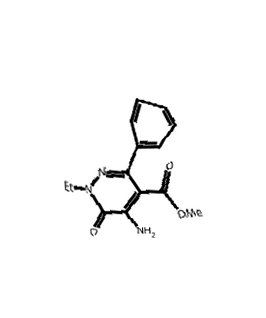 CCn1nc(-c2ccccc2)c(C(=O)OC)c(N)c1=O